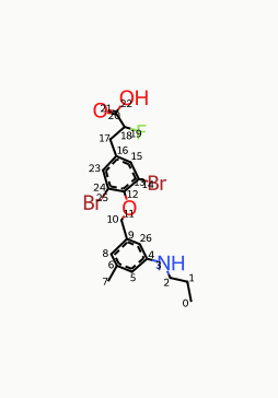 CCCNc1cc(C)cc(COc2c(Br)cc(CC(F)C(=O)O)cc2Br)c1